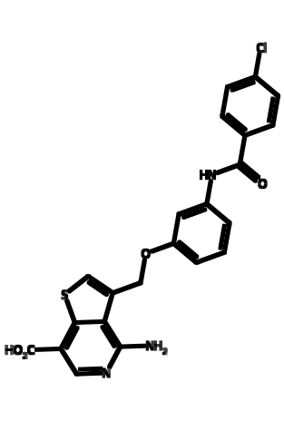 Nc1ncc(C(=O)O)c2scc(COc3cccc(NC(=O)c4ccc(Cl)cc4)c3)c12